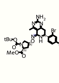 COC(=O)[C@@H]1C[C@@H](O/N=C2\N[C@@H](c3ccc(F)cc3Br)Cc3nc(N)nc(C)c32)CN1C(=O)OC(C)(C)C